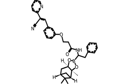 CC1(C)[C@@H]2C[C@H]3OB(C(Cc4ccccc4)NC(=O)CCOc4cccc(C=C(C#N)c5ccccn5)c4)O[C@@]3(C)[C@H]1C2